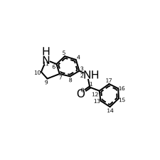 O=C(Nc1ccc2c(c1)CCN2)c1ccccc1